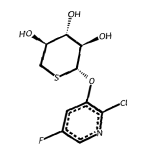 O[C@@H]1[C@@H](O)[C@H](Oc2cc(F)cnc2Cl)SC[C@H]1O